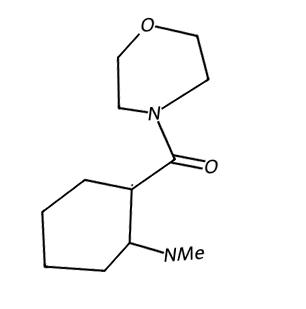 CNC1CCCC[C]1C(=O)N1CCOCC1